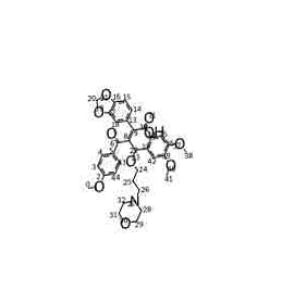 COc1ccc(C(=O)C(=C(C(=O)O)c2ccc3c(c2)OCO3)C(OCCCN2CCOCC2)c2ccc(OC)c(OC)c2)cc1